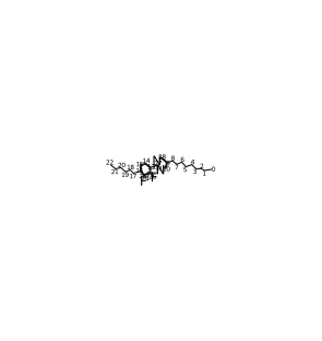 CCCCCCCCCc1cnc(-c2ccc(CCCCCC)c(F)c2F)nc1